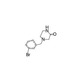 O=C1CN(Cc2cccc(Br)c2)CCN1